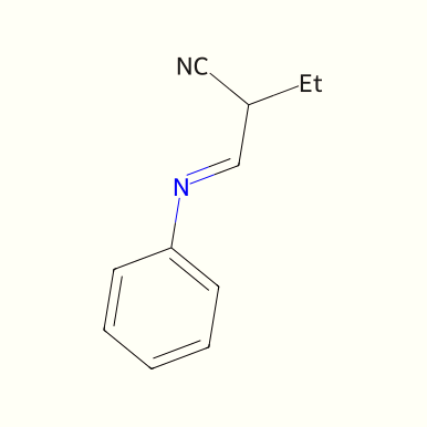 CCC(C#N)C=Nc1ccccc1